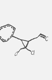 O=CC1C(c2ccccc2)C1(Cl)Cl